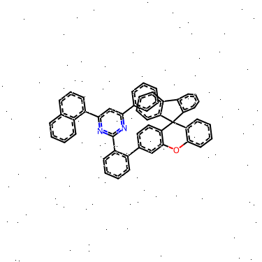 c1ccc(-c2cc(-c3cccc4ccccc34)nc(-c3ccccc3-c3ccc4c(c3)Oc3ccccc3C43c4ccccc4-c4ccccc43)n2)cc1